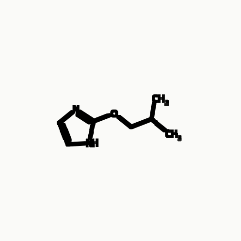 CC(C)COc1ncc[nH]1